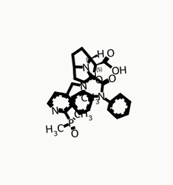 CN(Cc1ccnc(P(C)(C)=O)c1)C(=O)N1C2CC[C@@H]1[C@@H](C(=O)O)N(C(=O)N(c1ccccc1)c1ccccc1)CC2